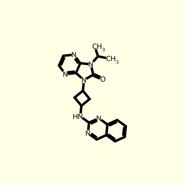 CC(C)n1c(=O)n(C2CC(Nc3ncc4ccccc4n3)C2)c2nccnc21